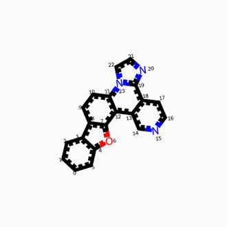 c1ccc2c(c1)oc1c2ccc2c1c1cnccc1c1nccn21